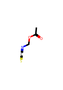 CC(=O)OCN=C=S